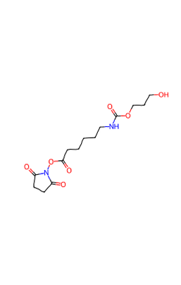 O=C(CCCCCNC(=O)OCCCO)ON1C(=O)CCC1=O